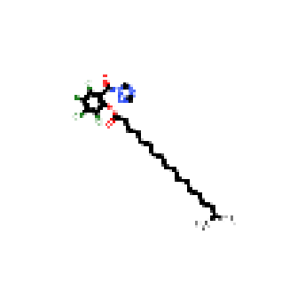 CC(C)CCCCCCCCCCCCCCCC(=O)Oc1c(Cl)c(Cl)c(Cl)c(Cl)c1C(=O)n1cncn1